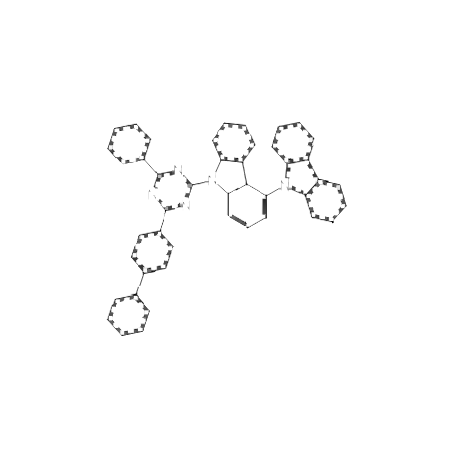 C1=CC2C(C(n3c4ccccc4c4ccccc43)=C1)c1ccccc1N2c1nc(-c2ccccc2)nc(-c2ccc(-c3ccccc3)cc2)n1